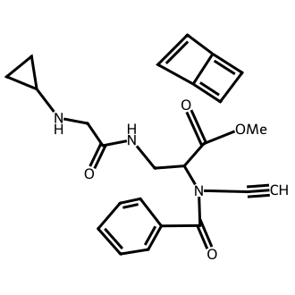 C#CN(C(=O)c1ccccc1)C(CNC(=O)CNC1CC1)C(=O)OC.c1cc2ccc1-2